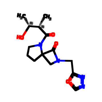 C[C@H](C(=O)N1CCCC12CN(Cc1nnco1)C2=O)[C@@H](C)O